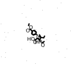 CCOC(=O)c1ccc(-n2cc(CC)c(NC(C)=O)c2C(=O)O)cc1